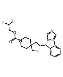 O=C(OCC(F)F)N1CCC2(CC[C@@H]([C@H]3c4ccccc4-c4cncn43)C2)CC1